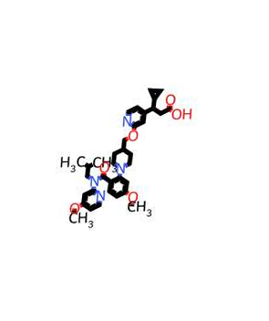 COc1ccnc(N(CC(C)C)C(=O)c2ccc(OC)cc2N2CCC(COc3cc(C(CC(=O)O)C4CC4)ccn3)CC2)c1